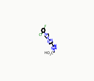 O=C(O)Cn1nnc(-c2cnc(N3CCN(c4cc(F)ccc4Cl)CC3)nc2)n1